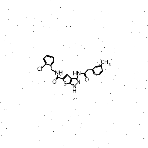 Cc1cccc(CC(=O)Nc2n[nH]c3sc(C(=O)NCc4ccccc4Cl)cc23)c1